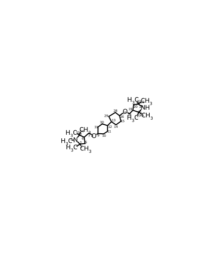 CN1C(C)(C)CC(COC2CCC(C3CCC(OCC4CC(C)(C)NC4(C)C)CC3)CC2)C1(C)C